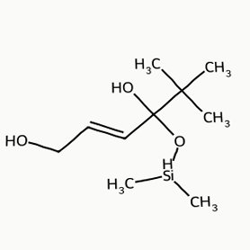 C[SiH](C)OC(O)(C=CCO)C(C)(C)C